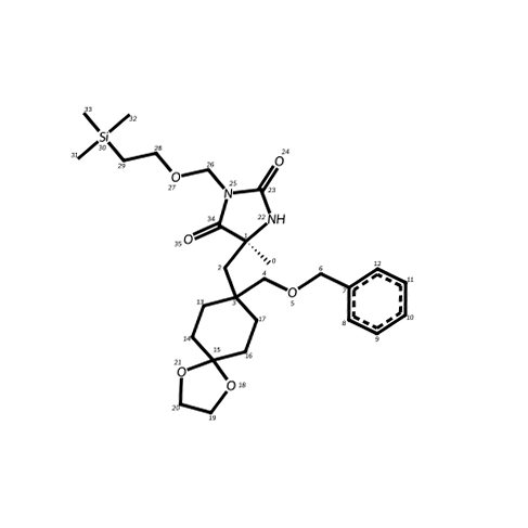 C[C@@]1(CC2(COCc3ccccc3)CCC3(CC2)OCCO3)NC(=O)N(COCC[Si](C)(C)C)C1=O